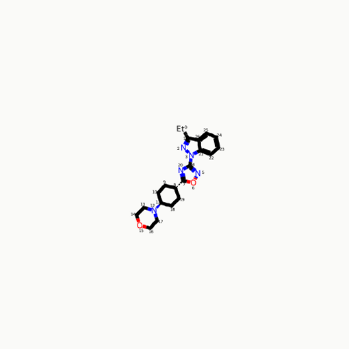 CCc1nn(-c2noc([C@H]3CC[C@H](N4CCOCC4)CC3)n2)c2ccccc12